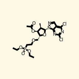 CCOP(=O)(CCOC[C@H]1O[C@@H](n2ncc3c(Cl)nc(Cl)nc32)[C@H](C)[C@@H]1OC(C)=O)OCC